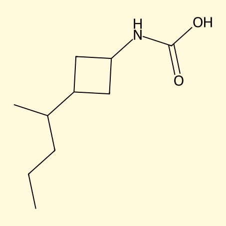 CCCC(C)C1CC(NC(=O)O)C1